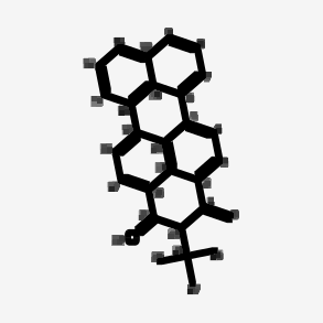 C=C1c2ccc3c4cccc5cccc(c6ccc(c2c36)C(=O)C1C(C)(C)C)c54